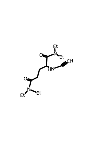 C#CNC(CCC(=O)N(CC)CC)C(=O)N(CC)CC